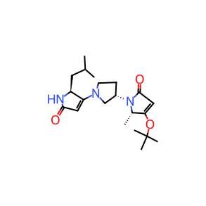 CC(C)C[C@@H]1NC(=O)C=C1N1CC[C@H](N2C(=O)C=C(OC(C)(C)C)[C@@H]2C)C1